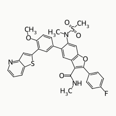 CNC(=O)c1c(-c2ccc(F)cc2)oc2cc(N(C)S(C)(=O)=O)c(-c3ccc(OC)c(-c4cc5ncccc5s4)c3)cc12